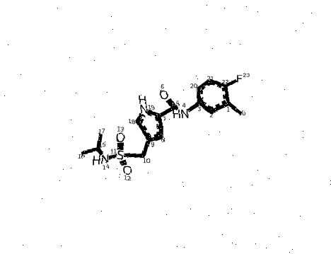 Cc1cc(NC(=O)c2cc(CS(=O)(=O)NC(C)C)c[nH]2)ccc1F